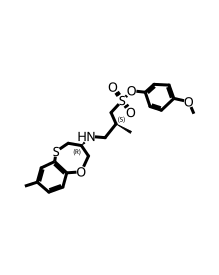 COc1ccc(OS(=O)(=O)C[C@@H](C)CN[C@@H]2COc3ccc(C)cc3SC2)cc1